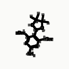 CCCCCCCCCCc1nc(N)nc(CCCCCCCCCC)c1B1OC(C)(C)C(C)(C)O1